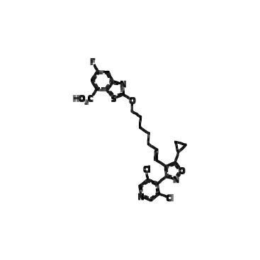 O=C(O)c1cc(F)cc2nc(OCCCCC/C=C/c3c(-c4c(Cl)cncc4Cl)noc3C3CC3)sc12